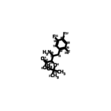 CC(C)(C)OC(C(=O)O)C(N)Cc1cc(F)c(F)cc1F